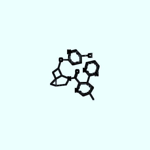 Cc1cnc(C(=O)N2CC3CC34CC(Oc3ccc(Cl)cn3)C24)c(-c2ncccn2)c1